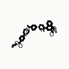 C=CCOC(=O)c1ccc(N2CCN(C(C)c3ccc([C@H]4C=NC(c5cc6c(=O)n(C)oc6c6ccccc56)=CC4)cc3)CC2)cc1